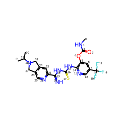 CNC(=O)Oc1cc(C(F)(F)F)cnc1NC(=S)NC(=N)c1cc2c(cn1)CN(C(C)C)C2